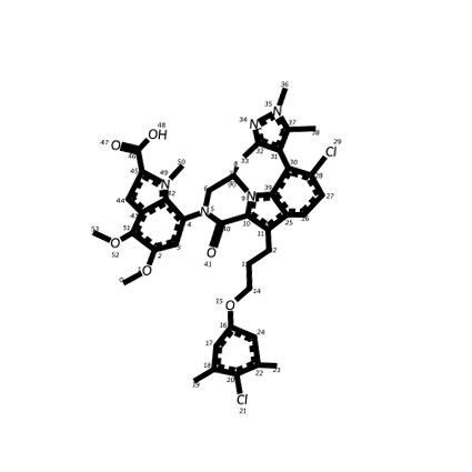 COc1cc(N2C[C@@H](C)n3c(c(CCCOc4cc(C)c(Cl)c(C)c4)c4ccc(Cl)c(-c5c(C)nn(C)c5C)c43)C2=O)c2c(cc(C(=O)O)n2C)c1OC